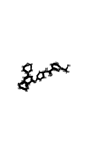 O=C(NC1CCC(Oc2cc(N3CCOCC3)cc3nccnc23)CC1)c1ccn(C(F)F)n1